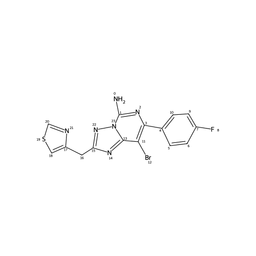 Nc1nc(-c2ccc(F)cc2)c(Br)c2nc(Cc3cscn3)nn12